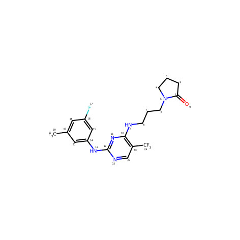 O=C1CCCN1CCCNc1nc(Nc2cc(F)cc(C(F)(F)F)c2)ncc1C(F)(F)F